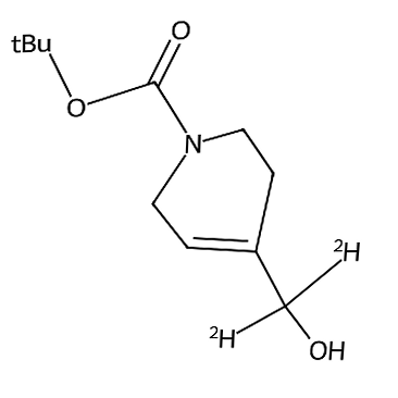 [2H]C([2H])(O)C1=CCN(C(=O)OC(C)(C)C)CC1